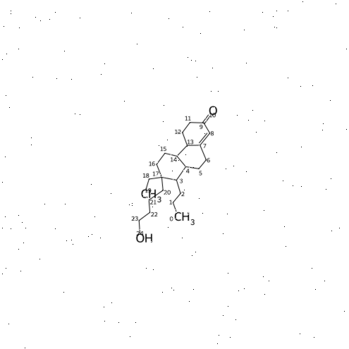 CCCC1C2CCC3=CC(=O)CCC3C2CCC1(CC)CCCCO